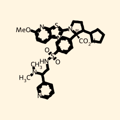 COc1ccc2nc(N3CCC(C4CCCC4)[C@]3(C(=O)O)c3ccc(S(=O)(=O)NCC(c4cccnc4)N(C)C)cc3)sc2n1